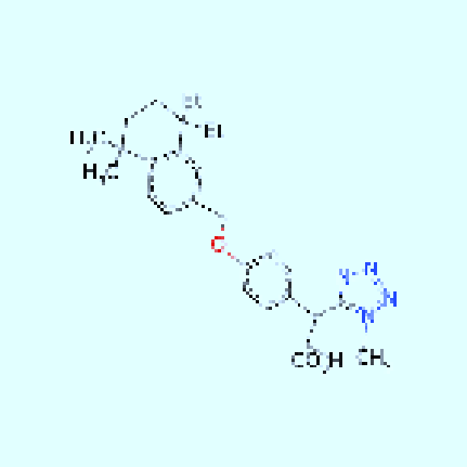 CCC1(CC)CCC(C)(C)c2ccc(COc3ccc(C(CC(=O)O)c4nnnn4C)cc3)cc21